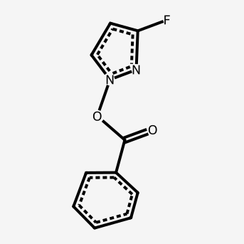 O=C(On1ccc(F)n1)c1ccccc1